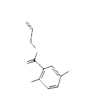 C=CCOC(=O)c1cc(N)ccc1O